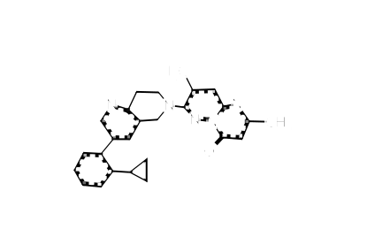 Cc1cc(=O)n2nc(N3CCc4ncc(-c5ccccc5C5CC5)cc4C3)c(C)cc2n1